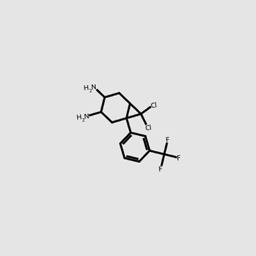 NC1CC2C(Cl)(Cl)C2(c2cccc(C(F)(F)F)c2)CC1N